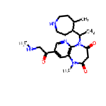 CNCC(=O)c1cnc2c(c1)N(C)C(=O)CC(=O)N2C(C)C1CCNCCC1C